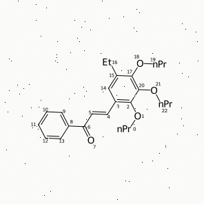 CCCOc1c(C=CC(=O)c2ccccc2)cc(CC)c(OCCC)c1OCCC